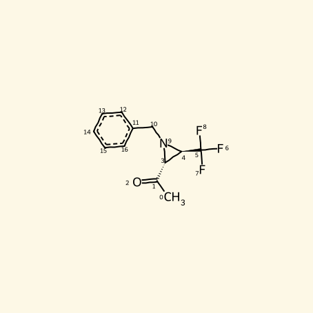 CC(=O)[C@H]1[C@H](C(F)(F)F)N1Cc1ccccc1